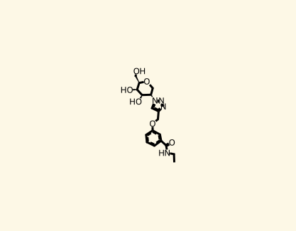 CCNC(=O)c1cccc(OCc2cn([C@H]3CO[C@H](CO)[C@H](O)[C@@H]3O)nn2)c1